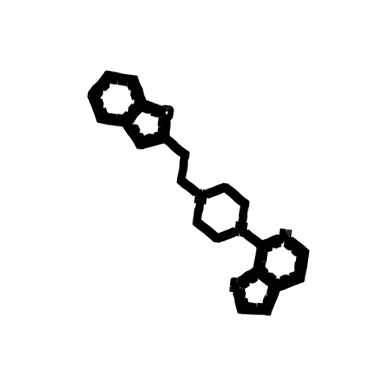 c1ccc2oc(CCN3CCN(c4nccc5ccsc45)CC3)cc2c1